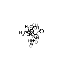 CC(C)(C)c1cc(-c2nc(C(=O)NC3COC3)ncc2CC2CCCCC2)cc(C(C)(C)C)c1